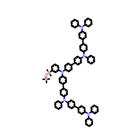 C[Si](C)(C)O[Si](C)(C)c1cccc(N(c2ccc(-c3ccc(N(c4ccccc4)c4ccc(-c5ccc(N(c6ccccc6)c6ccccc6)cc5)cc4)cc3)cc2)c2ccc(-c3ccc(N(c4ccccc4)c4ccc(-c5ccc(N(c6ccccc6)c6ccccc6)cc5)cc4)cc3)cc2)c1